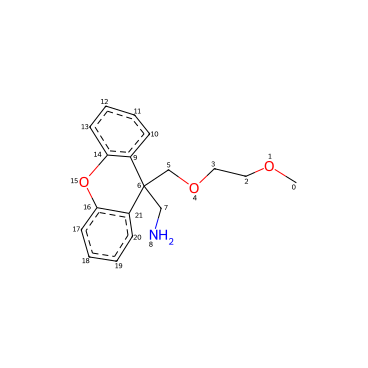 COCCOCC1(CN)c2ccccc2Oc2ccccc21